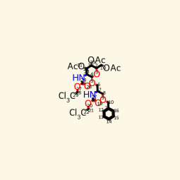 CC(=O)OCC1O[C@@H](OCC(COCc2ccccc2)NC(=O)OCC(Cl)(Cl)Cl)C(NC(=O)OCC(Cl)(Cl)Cl)C(OC(C)=O)[C@@H]1OC(C)=O